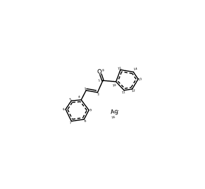 O=C(/C=C/c1ccccc1)c1ccccc1.[Ag]